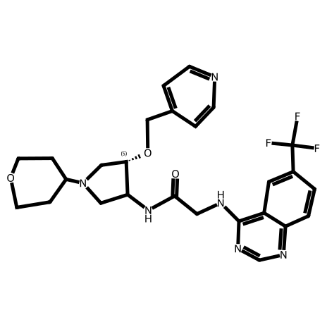 O=C(CNc1ncnc2ccc(C(F)(F)F)cc12)NC1CN(C2CCOCC2)C[C@@H]1OCc1ccncc1